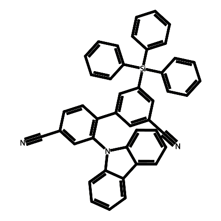 N#Cc1cc(-c2ccc(C#N)cc2-n2c3ccccc3c3ccccc32)cc([Si](c2ccccc2)(c2ccccc2)c2ccccc2)c1